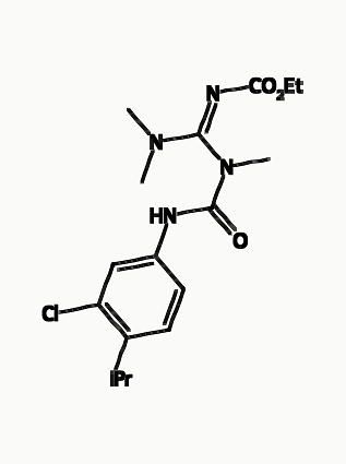 CCOC(=O)/N=C(/N(C)C)N(C)C(=O)Nc1ccc(C(C)C)c(Cl)c1